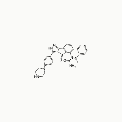 CN(c1ccncc1)N(C(N)=O)c1cccc2c1C(=O)c1c-2n[nH]c1-c1ccc(N2CCNCC2)cc1